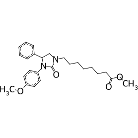 COC(=O)CCCCCCCN1CC(c2ccccc2)N(c2ccc(OC)cc2)C1=O